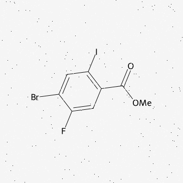 COC(=O)c1cc(F)c(Br)cc1I